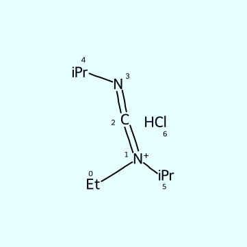 CC[N+](=C=NC(C)C)C(C)C.Cl